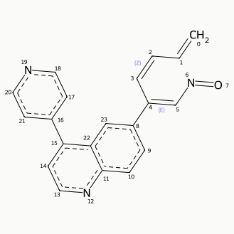 C=C/C=C\C(=C/N=O)c1ccc2nccc(-c3ccncc3)c2c1